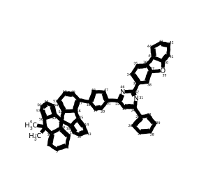 CC1(C)c2ccccc2C2(c3ccccc3-c3c(-c4ccc(-c5cc(-c6ccccc6)nc(-c6ccc7c(c6)oc6ccccc67)n5)cc4)cccc32)c2ccccc21